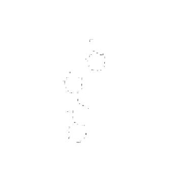 O=C(Nc1ccccc1)c1cc(-c2cc(Cl)cc(Cl)c2)ncn1